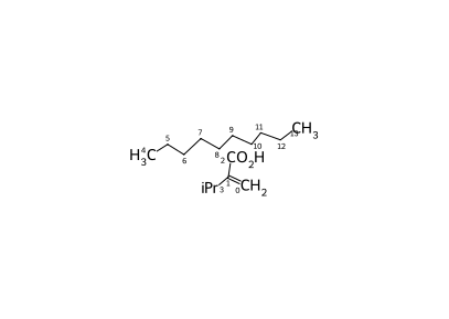 C=C(C(=O)O)C(C)C.CCCCCCCCCC